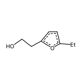 CCc1ccc(CCO)o1